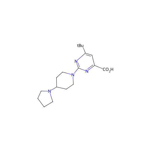 CC(C)(C)c1cc(C(=O)O)nc(N2CCC(N3CCCC3)CC2)n1